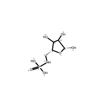 O=P(O)(O)NC[C@H]1O[C@@H](O)C(O)C1O